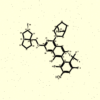 Nc1cc(F)c(C(F)(F)F)c(-c2c(F)cc3c(N4CC5CCC(C4)N5)nc(OC[C@@]45CCCN4C[C@H](F)C5)nc3c2F)c1F